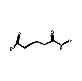 CC(C)NC(=O)CCCC(=O)C(C)C